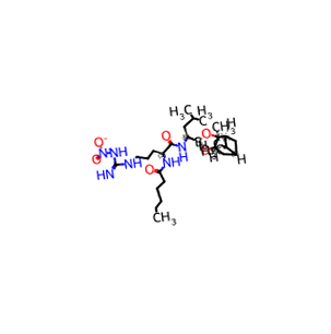 CCCCCC(=O)N[C@@H](CCCNC(=N)N[N+](=O)[O-])C(=O)N[C@@H](CC(C)C)B1O[C@@H]2C[C@@H]3C[C@@H](C3(C)C)[C@]2(C)O1